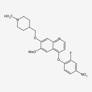 COc1cc2c(Oc3ccc([N+](=O)[O-])cc3F)ccnc2cc1OCC1CCN(C(=O)O)CC1